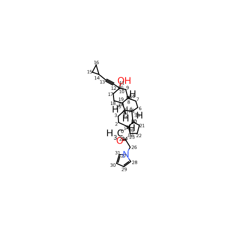 C[C@]12CC[C@H]3[C@@H](CC[C@H]4C[C@@](O)(C#CC5CC5)CC[C@@H]43)[C@@H]1CC[C@@H]2C(=O)Cn1cccc1